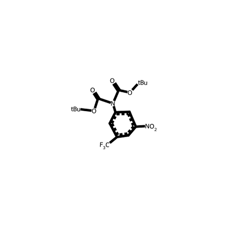 CC(C)(C)OC(=O)N(C(=O)OC(C)(C)C)c1cc([N+](=O)[O-])cc(C(F)(F)F)c1